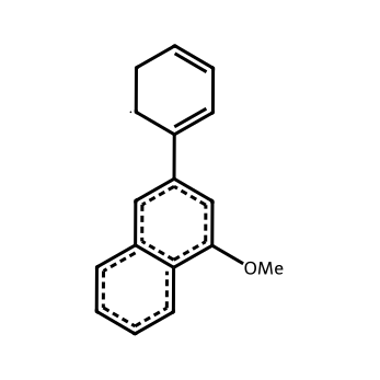 COc1cc(C2=CC=CC[CH]2)cc2ccccc12